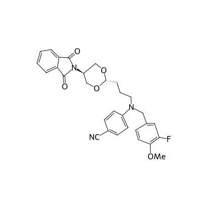 COc1ccc(CN(CCC[C@H]2OC[C@H](N3C(=O)c4ccccc4C3=O)CO2)c2ccc(C#N)cc2)cc1F